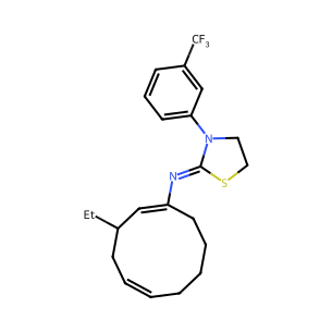 CCC1C=C(N=C2SCCN2c2cccc(C(F)(F)F)c2)CCCCC=CC1